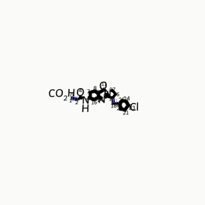 O=C(O)/C=C\C(=O)Nc1ccc2c(=O)n3c(nc2c1)/C(=C/c1ccc(Cl)cc1)CC3